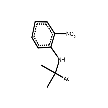 CC(=O)C(C)(C)Nc1ccccc1[N+](=O)[O-]